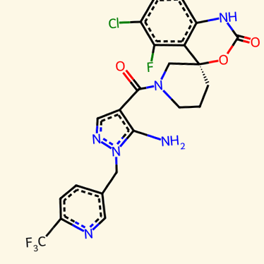 Nc1c(C(=O)N2CCC[C@@]3(C2)OC(=O)Nc2ccc(Cl)c(F)c23)cnn1Cc1ccc(C(F)(F)F)nc1